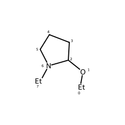 CCOC1CCCN1CC